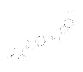 COc1ccc2sc(C(=O)NCc3ccc4c(c3)CN(C3CCC(=O)NC3=O)C4=O)cc2c1